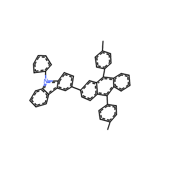 Cc1ccc(-c2c3ccccc3c(-c3ccc(C)cc3)c3cc(-c4ccc5c(c4)c4ccccc4n5-c4ccccc4)ccc23)cc1